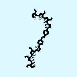 CCc1ccsc1-c1cc(CC)c(-c2cc(CC)c(-c3ccc(-c4ccc(/C=C/c5ccc(-c6ccc(-c7sc(-c8sc(-c9sccc9CC)cc8CC)cc7CC)s6)cc5)cc4)s3)s2)s1